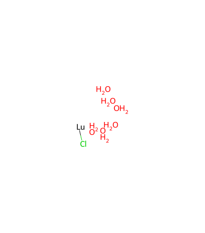 O.O.O.O.O.O.[Cl][Lu]